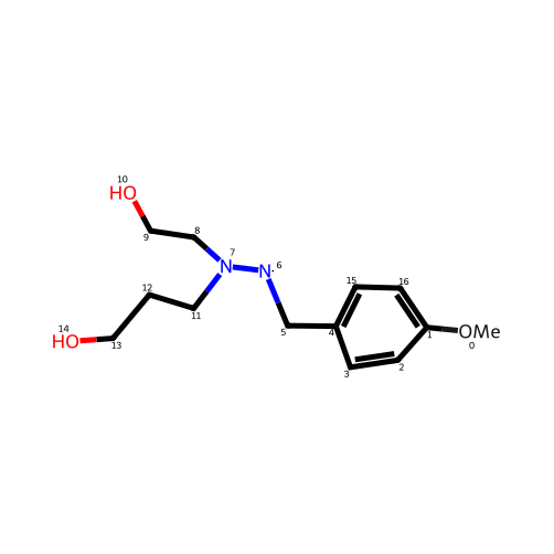 COc1ccc(C[N]N(CCO)CCCO)cc1